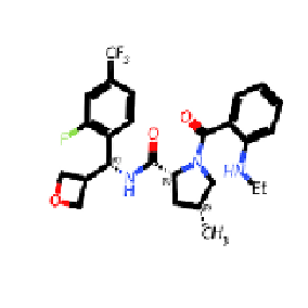 CCNc1ccccc1C(=O)N1C[C@H](C)C[C@@H]1C(=O)N[C@@H](c1ccc(C(F)(F)F)cc1F)C1COC1